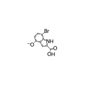 COc1ccc(Br)c2[nH]c(C(=O)O)cc12